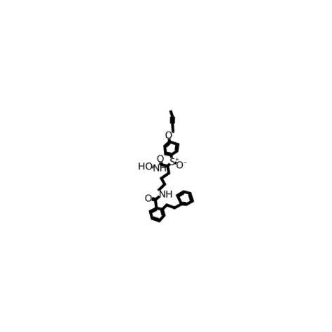 CC#CCOc1ccc([S+]([O-])C(CCCCNC(=O)c2ccccc2CCc2ccccc2)C(=O)NO)cc1